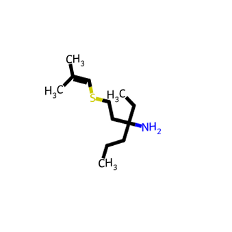 CCCC(N)(CC)CCSC=C(C)C